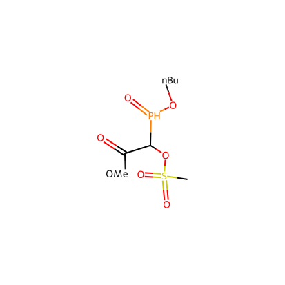 CCCCO[PH](=O)C(OS(C)(=O)=O)C(=O)OC